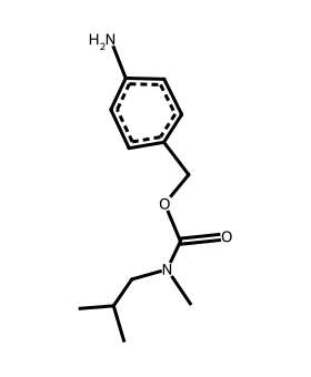 CC(C)CN(C)C(=O)OCc1ccc(N)cc1